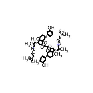 CC(=C[C@H]1CC[C@]2(OC(=O)C(=O)O[C@]34CC[C@H](C=C(C)/C=N/OCCN(C)C)[C@@]3(C)CC[C@H](c3cccc(O)c3)C4)C[C@@H](c3cccc(O)c3)CC[C@]12C)/C=N/OCCN(C)C